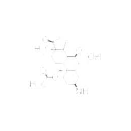 CC(=O)OC[C@]12CCC(=N)CC1[C@@H](CO)C(=O)C1C2CC[C@]2(C)C(=O)CCC12